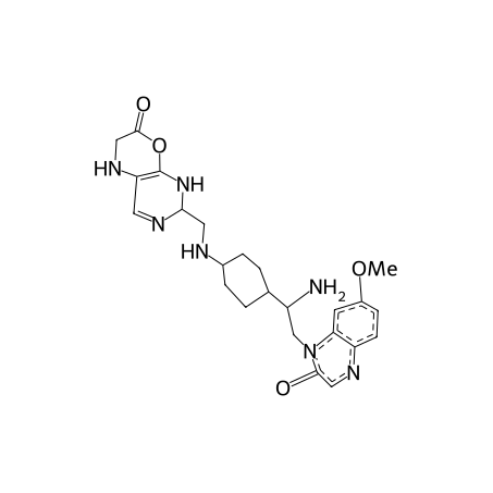 COc1ccc2ncc(=O)n(CC(N)C3CCC(NCC4N=CC5=C(N4)OC(=O)CN5)CC3)c2c1